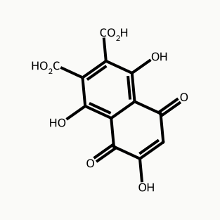 O=C(O)c1c(O)c2c(c(O)c1C(=O)O)C(=O)C(O)=CC2=O